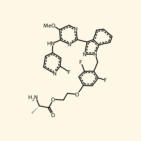 COc1cnc(-c2nn(Cc3c(F)cc(OCCOC(=O)[C@H](C)N)cc3F)c3ccccc23)nc1Nc1ccnc(F)c1